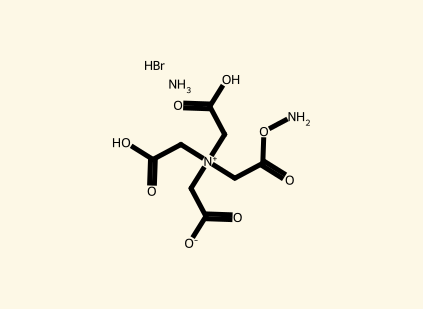 Br.N.NOC(=O)C[N+](CC(=O)[O-])(CC(=O)O)CC(=O)O